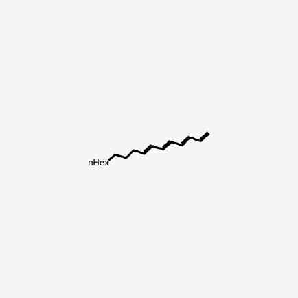 [CH2]CCCCCCCCC=CC=CC=CC=C